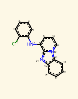 Clc1ccccc1Nc1cccn2c1nc1ccccc12